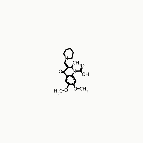 COc1cc2c(cc1OC)N(C(=O)O)C(C)C(=CN1CCCCC1)C2=O